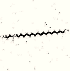 CCCCCCCCC=CCCCCCCCCONCCC